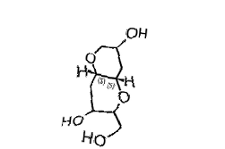 OCC1O[C@H]2CC(O)CO[C@H]2CC1O